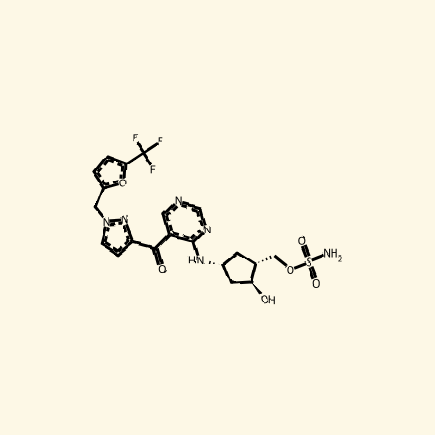 NS(=O)(=O)OC[C@H]1C[C@@H](Nc2ncncc2C(=O)c2ccn(Cc3ccc(C(F)(F)F)o3)n2)C[C@@H]1O